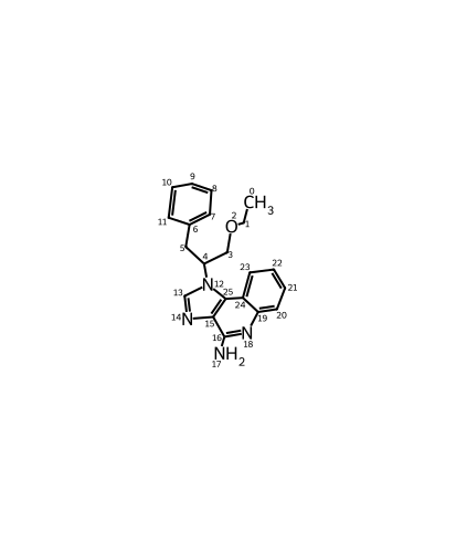 CCOCC(Cc1ccccc1)n1cnc2c(N)nc3ccccc3c21